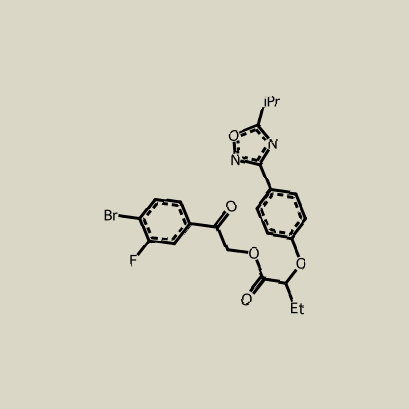 CCC(Oc1ccc(-c2noc(C(C)C)n2)cc1)C(=O)OCC(=O)c1ccc(Br)c(F)c1